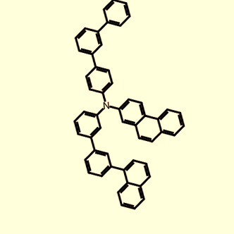 c1ccc(-c2cccc(-c3ccc(N(c4cccc(-c5cccc(-c6cccc7ccccc67)c5)c4)c4ccc5c(ccc6ccccc65)c4)cc3)c2)cc1